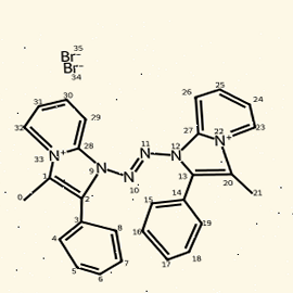 Cc1c(-c2ccccc2)n(N=Nn2c(-c3ccccc3)c(C)[n+]3ccccc23)c2cccc[n+]12.[Br-].[Br-]